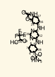 CNS(=O)(=O)c1cccc(Nc2cc(Nc3ccc4[nH]c(=O)oc4c3)ncn2)c1.O=C(O)C(F)(F)F